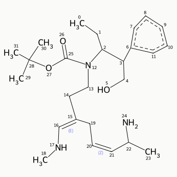 CCC(C(CO)c1ccccc1)N(CC/C(=C/NC)C/C=C\C(C)N)C(=O)OC(C)(C)C